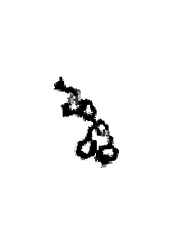 c1ccc(CN2CCC(Cc3ccccc3)(c3ccc4c(ccn4CC4CC4)c3)C2)cc1